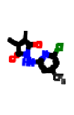 CC1C(=O)N(Nc2cc(C(F)(F)F)cc(Cl)n2)C(=O)C1C